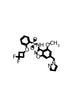 COc1cc(Cn2cccn2)cc2onc(NS(=O)(=O)c3ccccc3OC3CC(F)(F)C3)c12